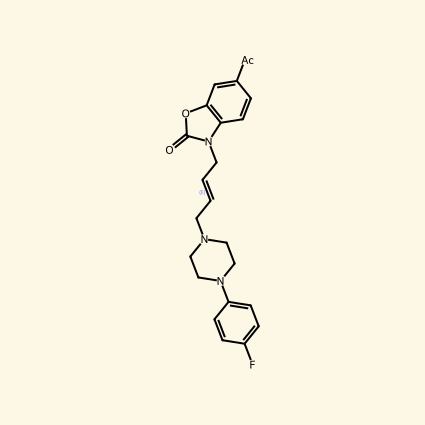 CC(=O)c1ccc2c(c1)oc(=O)n2C/C=C/CN1CCN(c2ccc(F)cc2)CC1